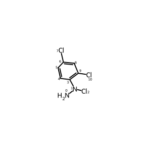 NN(Cl)c1ccc(Cl)cc1Cl